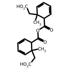 CC1(CC(=O)O)C=CC=CC1C(=O)OC(=O)C1C=CC=CC1(C)CC(=O)O